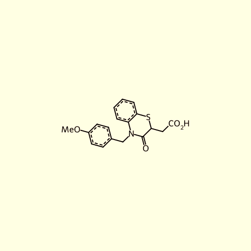 COc1ccc(CN2C(=O)C(CC(=O)O)Sc3ccccc32)cc1